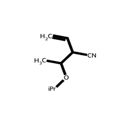 C=CC(C#N)C(C)OC(C)C